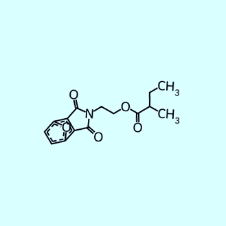 CCC(C)C(=O)OCCN1C(=O)c2c(c3ccc2o3)C1=O